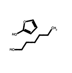 CCCCCCO.Oc1ccco1